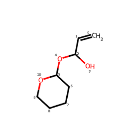 C=CC(O)OC1CCCCO1